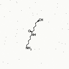 C#CCCCCC(=O)NCCCCCN